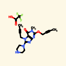 CC#CCOc1nc2nc(N3CCNCC3)n(CC#CC)c2c(=O)n1C.O=C(O)C(F)(F)F